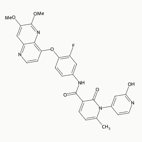 COc1cc2nccc(Oc3ccc(NC(=O)c4ccc(C)n(-c5ccnc(O)c5)c4=O)cc3F)c2nc1OC